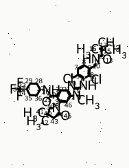 Cn1c(Nc2c(Cl)ccc(CNC(=O)C(C)(C)C)c2Cl)nc2cc(C(=O)N[C@H]3CC[C@H](C(F)(F)F)CC3)c(N3CC(C)(C)CC3=O)cc21